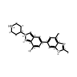 Cc1nc2c(C)cc(-c3cc(F)c4nn(C5CCNCC5)cc4c3)cc2o1